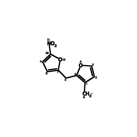 [CH2]c1ccoc1Cc1ccc([N+](=O)[O-])o1